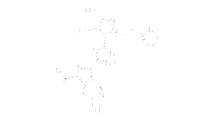 Cc1cn2c(C(N)=O)nc(-c3nc(-c4c(O)c(C)nn4CCc4nccs4)n[nH]3)c2cn1